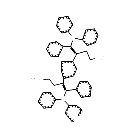 COCC/C(=C(\B(c1ccccc1)c1ccccc1)c1ccccc1)c1ccc(/C(CCOC)=C(/B(c2ccccc2)c2ccccc2)c2ccccc2)cc1